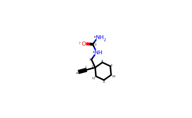 C#CC1(CNC(N)=O)CCCCC1